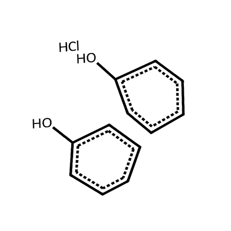 Cl.Oc1ccccc1.Oc1ccccc1